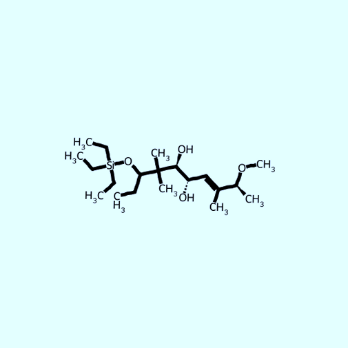 CCC(O[Si](CC)(CC)CC)C(C)(C)[C@@H](O)[C@@H](O)/C=C(\C)[C@H](C)OC